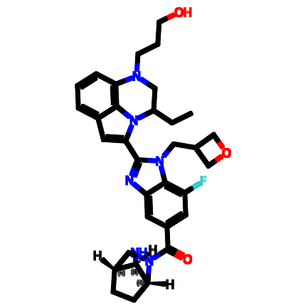 CCC1CN(CCCO)c2cccc3cc(-c4nc5cc(C(=O)N6C[C@H]7CC[C@@H]6[C@@H]7N)cc(F)c5n4CC4COC4)n1c23